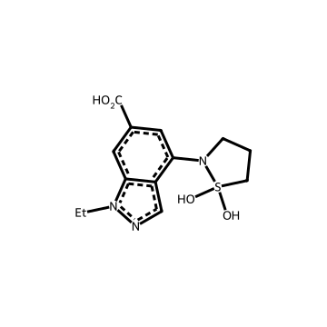 CCn1ncc2c(N3CCCS3(O)O)cc(C(=O)O)cc21